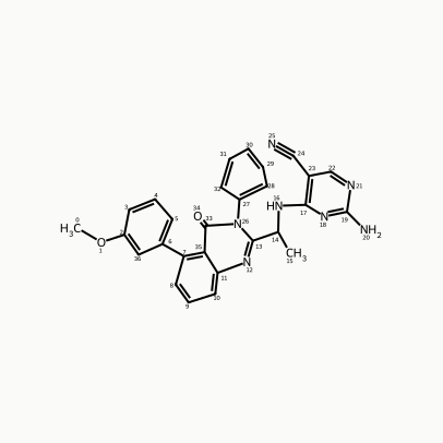 COc1cccc(-c2cccc3nc(C(C)Nc4nc(N)ncc4C#N)n(-c4ccccc4)c(=O)c23)c1